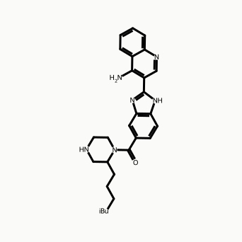 CCC(C)CCCC1CNCCN1C(=O)c1ccc2[nH]c(-c3cnc4ccccc4c3N)nc2c1